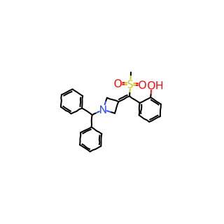 CS(=O)(=O)C(=C1CN(C(c2ccccc2)c2ccccc2)C1)c1ccccc1O